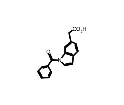 O=C(O)Cc1ccc2ccn(C(=O)c3ccccc3)c2c1